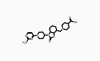 Nc1nccc(N2CCC(N3C(=O)OC4C(CN5CCC(C(=O)O)CC5)CCCC43)CC2)n1